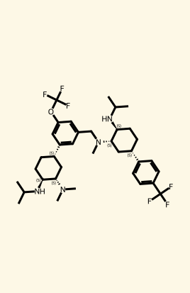 CC(C)N[C@H]1CC[C@H](c2cc(CN(C)[C@H]3C[C@@H](c4ccc(C(F)(F)F)cc4)CC[C@@H]3NC(C)C)cc(OC(F)(F)F)c2)C[C@@H]1N(C)C